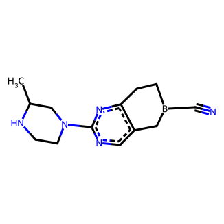 CC1CN(c2ncc3c(n2)CCB(C#N)C3)CCN1